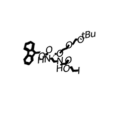 CC(C)(C)OCCOCCOC[C@H](CNCC(=O)OCCI)NC(=O)OCC1c2ccccc2-c2ccccc21